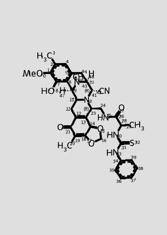 COc1c(C)cc2c(c1O)[C@@H]1C3CC4=C(C5OCOC5=C(C)C4=O)[C@H](CNC(=O)C(C)NC(=S)Nc4ccccc4)N3[C@@H](C#N)[C@H](C2)N1C